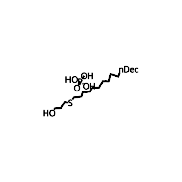 CCCCCCCCCCCCCCCCCCCCSCCCO.O=P(O)(O)O